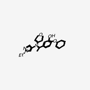 CCn1cc(N(C2CCOCC2)C(C)c2ccc(OC3CCCCC3)c(O)c2)cn1